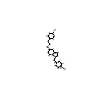 Fc1ccc(CCOc2ccc3c(ccn3Cc3ccc(F)cc3)c2)cc1